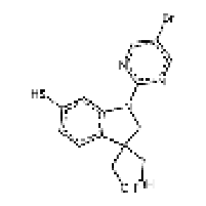 OCC1(CO)CN(c2ncc(Br)cn2)c2cc(S)ccc21